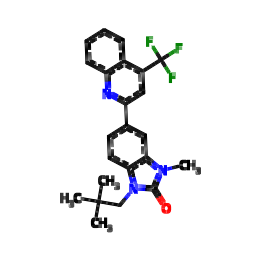 Cn1c(=O)n(CC(C)(C)C)c2ccc(-c3cc(C(F)(F)F)c4ccccc4n3)cc21